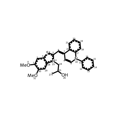 COc1cc2sc(C=C3C=CN(c4ccccc4)c4ccccc43)[n+](CC(O)I)c2cc1OC